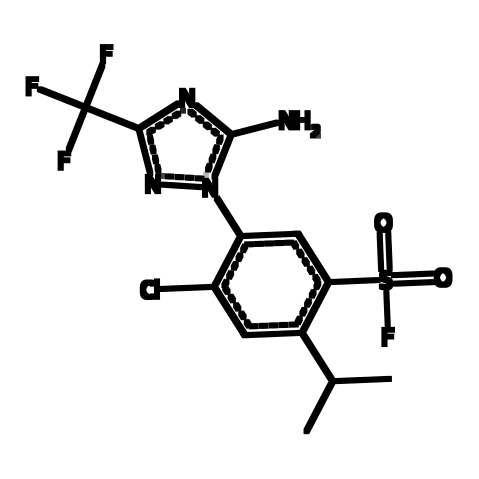 CC(C)c1cc(Cl)c(-n2nc(C(F)(F)F)nc2N)cc1S(=O)(=O)F